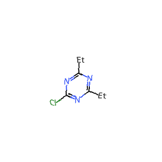 CCc1nc(Cl)nc(CC)n1